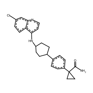 NC(=O)C1(c2ccc(C3CCC(Nc4ccnc5cc(Cl)ccc45)CC3)cc2)CC1